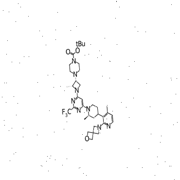 Cc1ccnc(N2CC3(COC3)C2)c1C1CCN(c2cc(N3C[C@@H](N4CCN(C(=O)OC(C)(C)C)CC4)[C@H]3C)nc(C(F)(F)F)n2)[C@H](C)C1